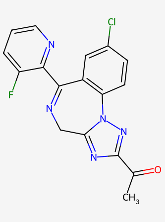 CC(=O)c1nc2n(n1)-c1ccc(Cl)cc1C(c1ncccc1F)=NC2